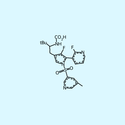 Cc1cncc(S(=O)(=O)n2cc(CC(NC(=O)O)C(C)(C)C)c(F)c2-c2cccnc2F)c1